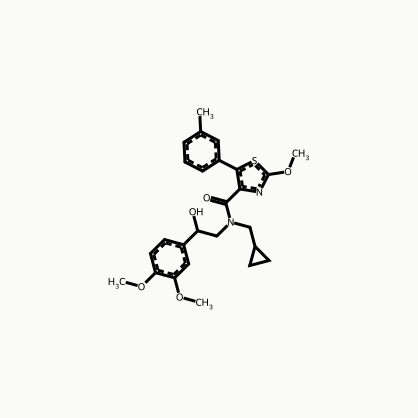 COc1nc(C(=O)N(CC2CC2)CC(O)c2ccc(OC)c(OC)c2)c(-c2cccc(C)c2)s1